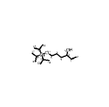 CCC(O)CCCO[Si](C(C)C)(C(C)C)C(C)C